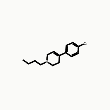 CCCCN1CC=C(c2ccc(Cl)cc2)CC1